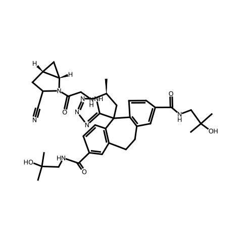 C[C@@H](CC1(c2nnn[nH]2)c2ccc(C(=O)NCC(C)(C)O)cc2CCc2cc(C(=O)NCC(C)(C)O)ccc21)NCC(=O)N1C(C#N)C[C@@H]2C[C@@H]21